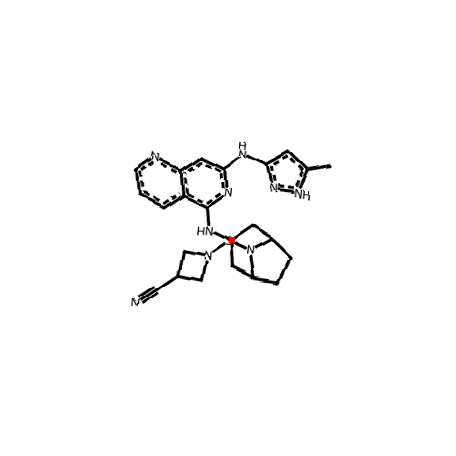 Cc1cc(Nc2cc3ncccc3c(NC3CC4CCC(C3)N4SN3CC(C#N)C3)n2)n[nH]1